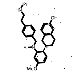 CCN(Cc1ccc(CCNC(C)C)cc1)C1C=C(OC)C=CC1[C@@H]1CCc2cc(O)ccc2C1